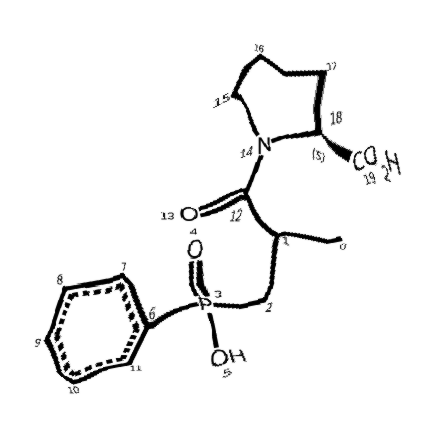 CC(CP(=O)(O)c1ccccc1)C(=O)N1CCC[C@H]1C(=O)O